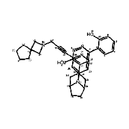 Nc1nnc(-c2ccccc2O)cc1N1CC2CCC(C1)N2c1ccnc(C#CCN2CC3(CCCC3)C2)c1